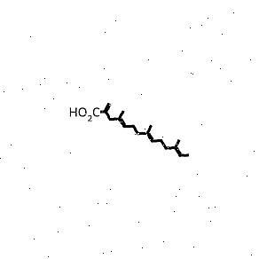 C=C(C/C(C)=C/CC/C(C)=C/CC/C(C)=C/C)C(=O)O